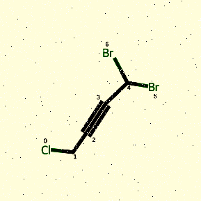 ClCC#CC(Br)Br